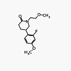 COCCN1CC(c2ccc(OC)cc2F)CCC1=O